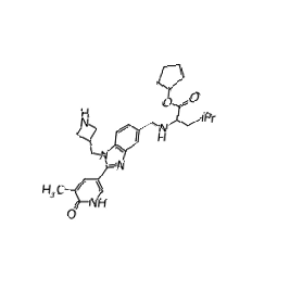 Cc1cc(-c2nc3cc(CNC(CC(C)C)C(=O)OC4CCCC4)ccc3n2CC2CNC2)c[nH]c1=O